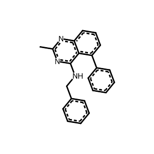 Cc1nc(NCc2ccccc2)c2c(-c3ccccc3)cccc2n1